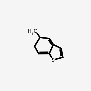 CC1C=c2ccsc2=CC1